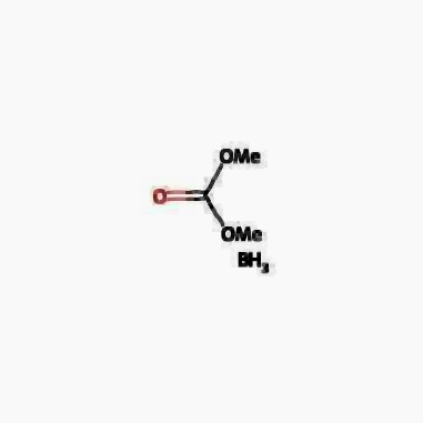 B.COC(=O)OC